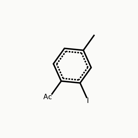 CC(=O)c1ccc(C)cc1I